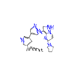 CCCCCc1cncc(-c2cnn(C3=C4N=C(N5CCCC5)C=CN4NC3)c2)c1